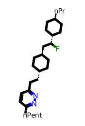 CCCCCc1ccc(CC[C@H]2CC[C@H](CC(F)[C@H]3CC[C@H](CCC)CC3)CC2)nn1